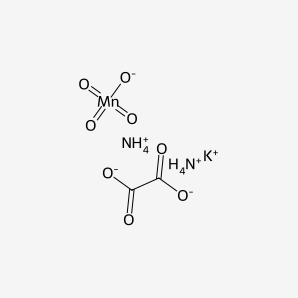 O=C([O-])C(=O)[O-].[K+].[NH4+].[NH4+].[O]=[Mn](=[O])(=[O])[O-]